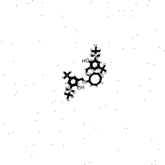 CC(C)(C)c1cc(CSC2CCCCCC[C@@H]2SCc2cc(C(C)(C)C)cc([Si](C)(C)C(C)(C)C)c2O)c(O)c([Si](C)(C)C(C)(C)C)c1